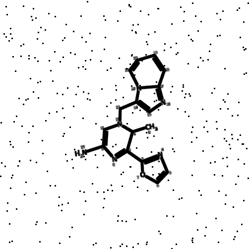 CC1C(c2ncco2)=NC(N)=CN1Cc1cnc2ccccn12